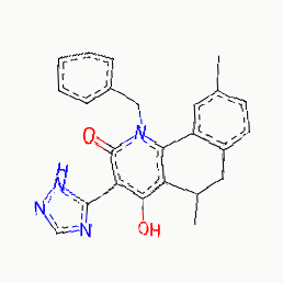 Cc1ccc2c(c1)-c1c(c(O)c(-c3ncn[nH]3)c(=O)n1Cc1ccccc1)C(C)C2